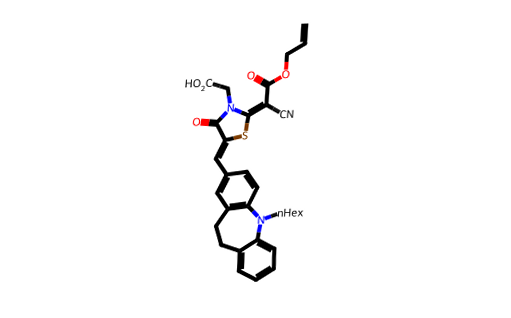 C=CCOC(=O)/C(C#N)=c1/s/c(=C\c2ccc3c(c2)CCc2ccccc2N3CCCCCC)c(=O)n1CC(=O)O